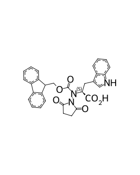 O=C(O)[C@H](Cc1c[nH]c2ccccc12)N(C(=O)OCC1c2ccccc2-c2ccccc21)N1C(=O)CCC1=O